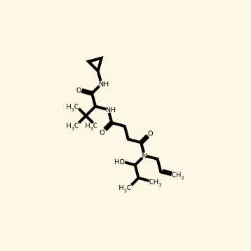 C=CCN(C(=O)CCC(=O)NC(C(=O)NC1CC1)C(C)(C)C)C(O)C(C)C